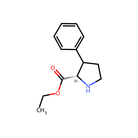 CCOC(=O)[C@H]1NCCC1c1ccccc1